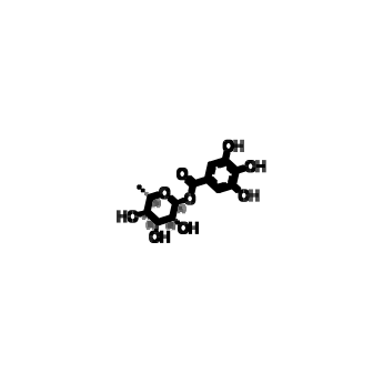 C[C@@H]1O[C@@H](OC(=O)c2cc(O)c(O)c(O)c2)[C@H](O)[C@H](O)[C@H]1O